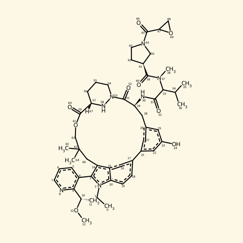 CCn1c(-c2cccnc2[C@H](C)OC)c2c3cc(ccc31)-c1cc(O)cc(c1)C[C@H](NC(=O)C(C(C)C)N(C)C(=O)[C@H]1CCN(C(=O)C3CO3)C1)C(=O)N1CCC[C@H](N1)C(=O)OCC(C)(C)C2